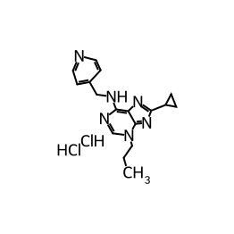 CCCn1cnc(NCc2ccncc2)c2nc(C3CC3)nc1-2.Cl.Cl